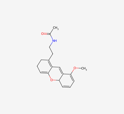 COC1=CC=CC2OC3=CCCC(CCNC(C)=O)=C3C=C12